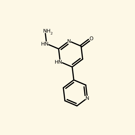 NNc1nc(=O)cc(-c2cccnc2)[nH]1